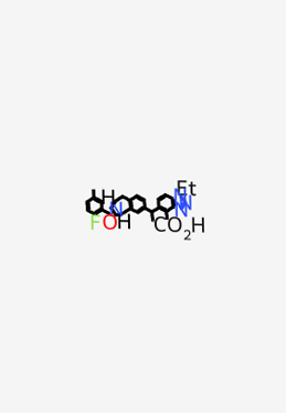 CCn1nnc2c(C)c(C(CC(=O)O)c3ccc4c(c3)[C@@H]3CC[C@H](C4)N3C(=O)c3cc(C)ccc3F)ccc21